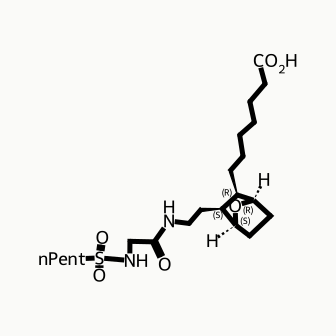 CCCCCS(=O)(=O)NCC(=O)NCC[C@H]1[C@@H](CCCCCCC(=O)O)[C@H]2CC[C@@H]1O2